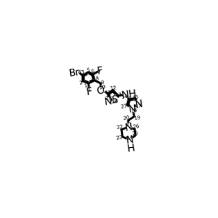 Fc1cc(Br)cc(F)c1COc1cc(Nc2cnn(CCN3CCNCC3)c2)sn1